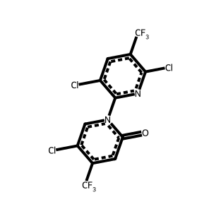 O=c1cc(C(F)(F)F)c(Cl)cn1-c1nc(Cl)c(C(F)(F)F)cc1Cl